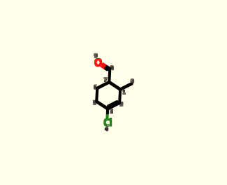 CC1C=C(Cl)CCC1C=O